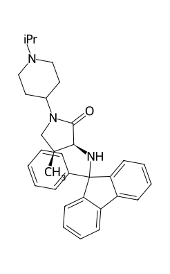 CC(C)N1CCC(N2C[C@H](C)[C@H](NC3(c4ccccc4)c4ccccc4-c4ccccc43)C2=O)CC1